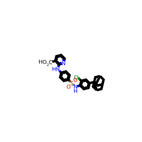 O=C(O)c1cccnc1Nc1ccc(S(=O)(=O)Nc2ccc(C34CC5CC(CC(C5)C3)C4)cc2Cl)cc1